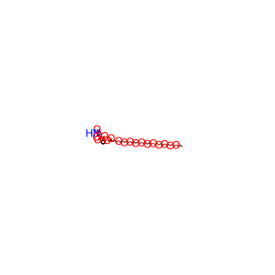 CCCOCCOCCOCCOCCOCCOCCOCCOCCOCCOCCOCCCC(=O)COc1cccc2c1C(=O)C(C1CCC(=O)NC1=O)C2=O